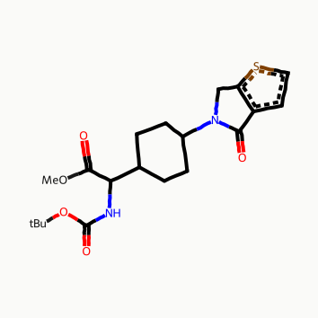 COC(=O)C(NC(=O)OC(C)(C)C)C1CCC(N2Cc3sccc3C2=O)CC1